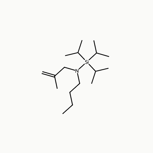 C=C(C)CN(CCCC)[Si](C(C)C)(C(C)C)C(C)C